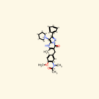 COc1ccc(Cc2c(C)[nH]c3c(N4CCCCC4)c(-c4ccccc4)nn3c2=O)cc1N(C)C(C)=O